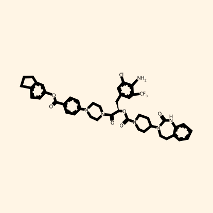 Nc1c(Cl)cc(C[C@@H](OC(=O)N2CCC(N3CCc4ccccc4NC3=O)CC2)C(=O)N2CCN(c3ccc(C(=O)Oc4ccc5c(c4)CCC5)cc3)CC2)cc1C(F)(F)F